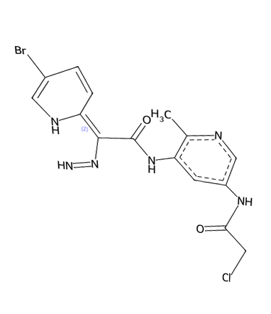 Cc1ncc(NC(=O)CCl)cc1NC(=O)/C(N=N)=C1\C=CC(Br)=CN1